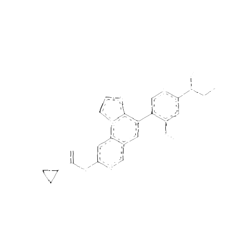 CCC(O)c1cc(C)c(-c2cc3cnc(NC(=O)[C@@H]4C[C@@H]4F)cc3n3ccnc23)cn1